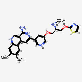 COc1cc2ncc3c(N)nc(-c4cncc(OC[C@H](COc5nccs5)NC(=O)O)c4)cc3c2cc1OC